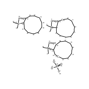 CCCCCCC[N+](C)(C)C1CCCCCCCCCC1.CCCCCCC[N+](C)(C)C1CCCCCCCCCC1.CCCCCCC[N+](C)(C)C1CCCCCCCCCC1.O=P([O-])([O-])[O-]